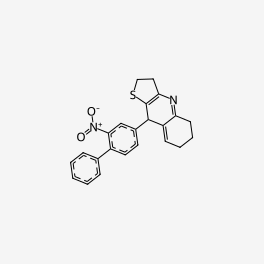 O=[N+]([O-])c1cc(C2C3=CCCCC3=NC3=C2SCC3)ccc1-c1ccccc1